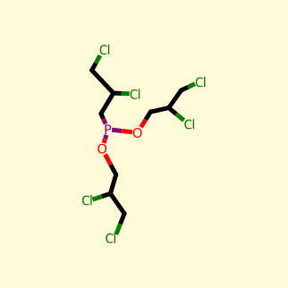 ClCC(Cl)COP(CC(Cl)CCl)OCC(Cl)CCl